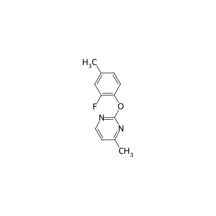 Cc1ccc(Oc2nccc(C)n2)c(F)c1